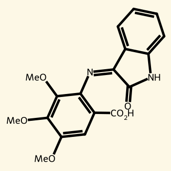 COc1cc(C(=O)O)c(/N=C2\C(=O)Nc3ccccc32)c(OC)c1OC